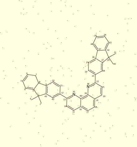 CC1(C)C2=CC=CCC2c2ccc(-c3ccc4ccc5ccc(-c6ccc7c(c6)C(C)(C)c6ccccc6-7)nc5c4n3)cc21